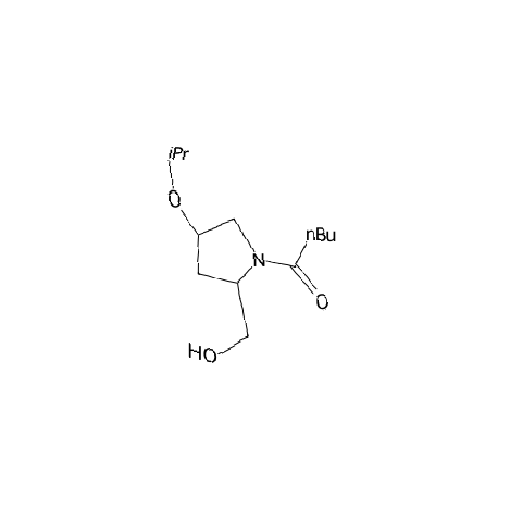 CCCCC(=O)N1CC(OC(C)C)CC1CO